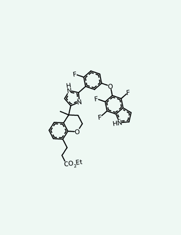 CCOC(=O)CCc1cccc2c1OCCC2(C)c1c[nH]c(-c2cc(Oc3c(F)c(F)c4[nH]ccc4c3F)ccc2F)n1